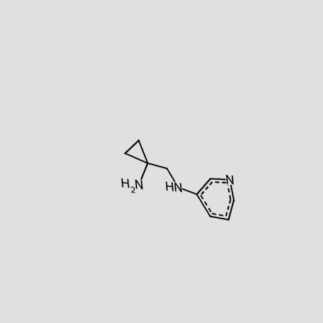 NC1(CNc2cccnc2)CC1